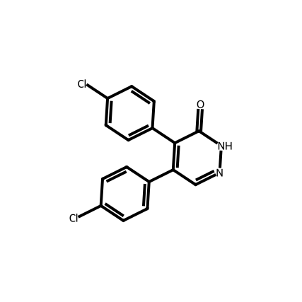 O=c1[nH]ncc(-c2ccc(Cl)cc2)c1-c1ccc(Cl)cc1